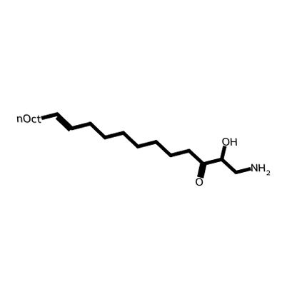 CCCCCCCCC=CCCCCCCCC(=O)C(O)CN